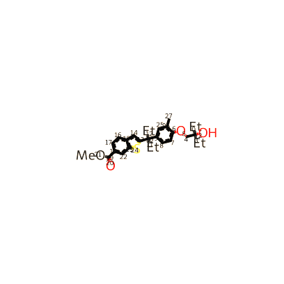 CCC(O)(CC)COc1ccc(C(CC)(CC)c2cc3ccc(C(=O)OC)cc3s2)cc1C